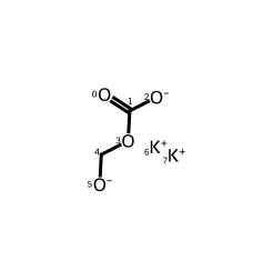 O=C([O-])OC[O-].[K+].[K+]